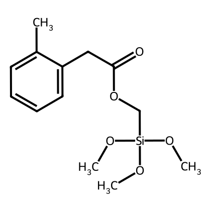 CO[Si](COC(=O)Cc1ccccc1C)(OC)OC